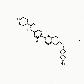 NC1CC2(C1)CC(NC1CCc3cc(-n4ccc(NC(=O)N5CCNCC5)nc4=O)ccc3C1)C2